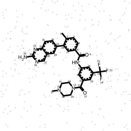 Cc1ccc(C(=O)Nc2cc(C(=O)N3CCN(C)CC3)cc(C(F)(F)F)c2)cc1-c1ccc2nc(N)ncc2c1